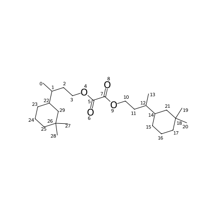 CC(CCOC(=O)C(=O)OCCC(C)C1CCCC(C)(C)C1)C1CCCC(C)(C)C1